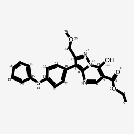 CCOC(=O)c1cnc2c(-c3ccc(Sc4ccccc4)cc3)c(COC)nn2c1O